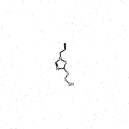 C=CCN1C=NC(SSS)S1